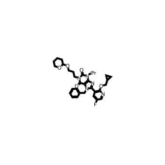 CC(C)n1c(=O)n(CCCOC2CCCCO2)c(=O)c2c1nc(-c1cc(F)cnc1OCC1CC1)n2Cc1ccccc1